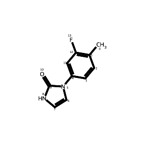 Cc1ccc(-n2cc[nH]c2=O)cc1F